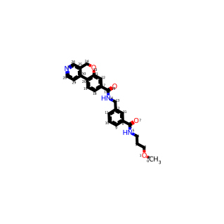 COCCCNC(=O)c1cccc(CNC(=O)c2ccc3c(c2)OCc2cnccc2-3)c1